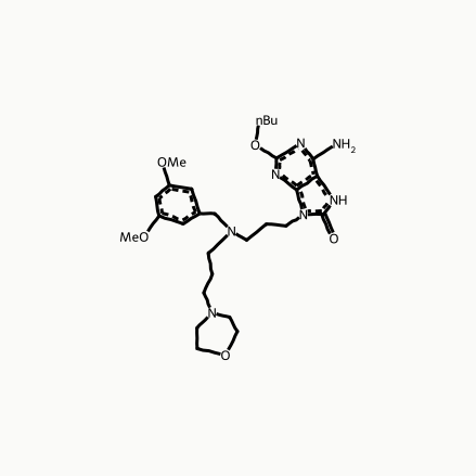 CCCCOc1nc(N)c2[nH]c(=O)n(CCCN(CCCN3CCOCC3)Cc3cc(OC)cc(OC)c3)c2n1